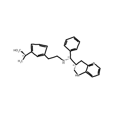 C[C@@H](C(=O)O)c1cccc(CCN[C@H](c2ccccc2)[C@H]2CNc3cccnc3C2)c1